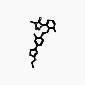 CCOc1nc(-c2ccc(OCc3c(C)cccc3-n3nnn(C)c3=O)c(C)c2)cs1